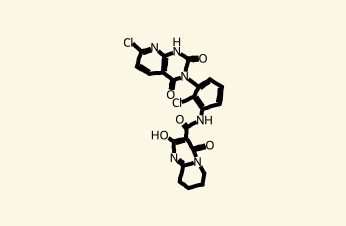 O=C(Nc1cccc(-n2c(=O)[nH]c3nc(Cl)ccc3c2=O)c1Cl)c1c(O)nc2n(c1=O)CCCC2